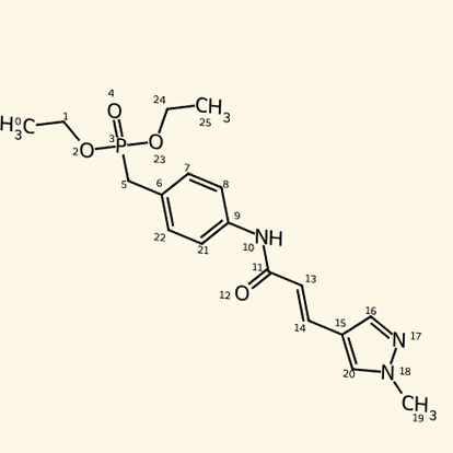 CCOP(=O)(Cc1ccc(NC(=O)C=Cc2cnn(C)c2)cc1)OCC